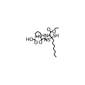 CCCCCCCC(S)(S)[C@H](NC(C)C(=O)N1CCC[C@H]1C(=O)O)C(=O)OCC